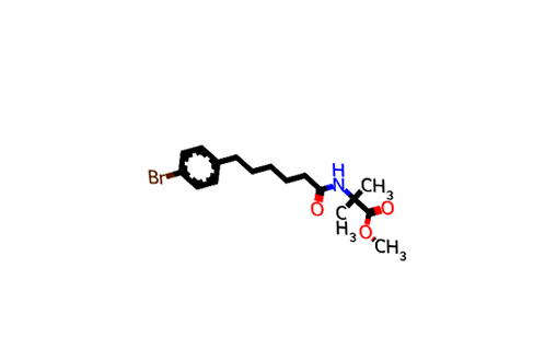 COC(=O)C(C)(C)NC(=O)CCCCCc1ccc(Br)cc1